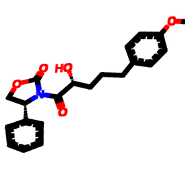 COc1ccc(CCC[C@@H](O)C(=O)N2C(=O)OC[C@H]2c2ccccc2)cc1